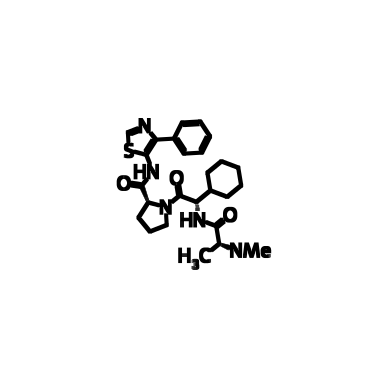 CN[C@@H](C)C(=O)N[C@H](C(=O)N1CCC[C@H]1C(=O)Nc1scnc1-c1ccccc1)C1CCCCC1